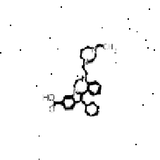 CCN1CCCN(CCN2CCn3c(c(C4CCCCC4)c4ccc(C(=O)O)cc43)-c3ccccc32)CC1